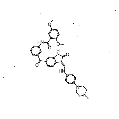 COc1ccc(OC)c(C(=O)Nc2cccc(C(=O)c3ccc4c(c3)NC(=O)/C4=C/Nc3ccc(N4CCN(C)CC4)cc3)c2)c1